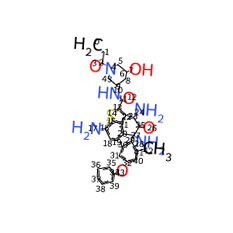 C=CC(=O)N1C[C@@H](O)C[C@@H](NC(=O)c2sc3c(N)ccc4c3c2C(N)C(=O)C4(N)c2ccc(Oc3ccccc3)cc2C)C1